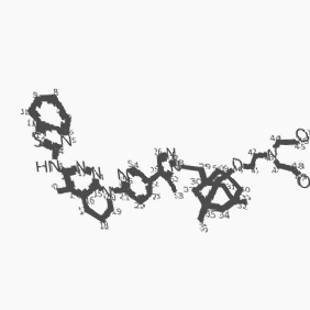 Cc1c(Nc2nc3ccccc3s2)nnc2c1CCCN2c1ccc(-c2cnn(CC34CC5(C)CC(C)(C3)CC(OCCN(CCO)CCO)(C5)C4)c2C)cn1